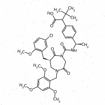 COc1cc(OC)c(CN2C[C@@H](Cc3cc(Cl)ccc3OC)C(=O)N(C(=O)N[C@H](C)c3ccc(C(C(=O)O)C(C)(C)C)cc3)CC2=O)c(OC)c1